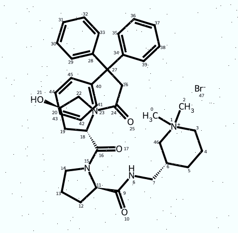 C[N+]1(C)CCC[C@H](CNC(=O)[C@H]2CCCN2C(=O)[C@@H]2C[C@@H](O)CN2C(=O)CC(c2ccccc2)(c2ccccc2)c2ccccc2)C1.[Br-]